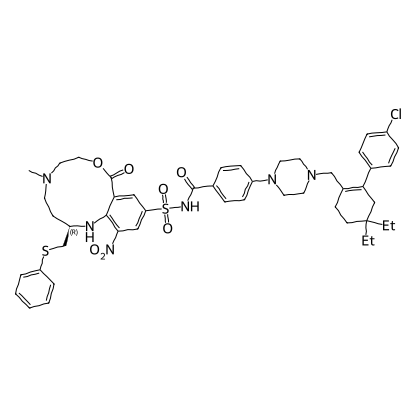 CCC1(CC)CCC(CN2CCN(c3ccc(C(=O)NS(=O)(=O)c4cc5c(c([N+](=O)[O-])c4)N[C@@H](CSc4ccccc4)CCN(C)CCOC5=O)cc3)CC2)=C(c2ccc(Cl)cc2)C1